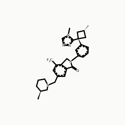 C[C@H]1CCCN(Cc2cc3c(c(C(F)(F)F)c2)CN(c2cccc([C@]4(c5nncn5C)C[C@@H](C)C4)c2)C3=O)C1